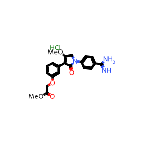 COC(=O)COc1cccc(C2=C(OC)CN(c3ccc(C(=N)N)cc3)C2=O)c1.Cl